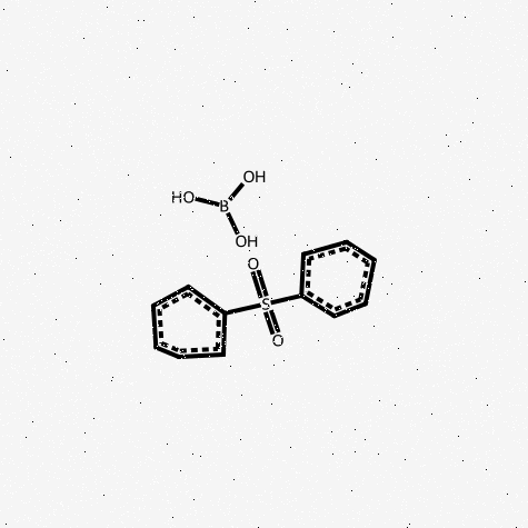 O=S(=O)(c1ccccc1)c1ccccc1.OB(O)O